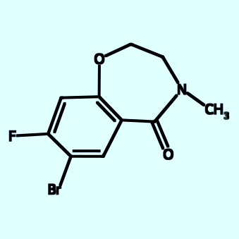 CN1CCOc2cc(F)c(Br)cc2C1=O